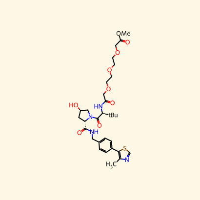 COC(=O)COCCOCCOCC(=O)N[C@H](C(=O)N1C[C@H](O)C[C@H]1C(=O)NCc1ccc(-c2scnc2C)cc1)C(C)(C)C